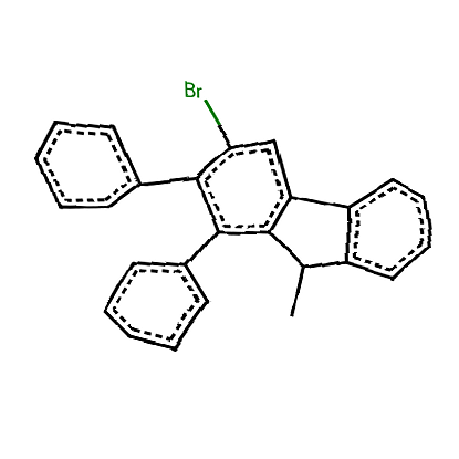 CC1c2ccccc2-c2cc(Br)c(-c3ccccc3)c(-c3ccccc3)c21